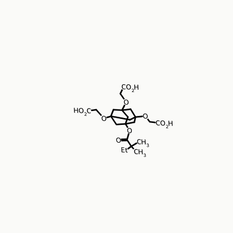 CCC(C)(C)C(=O)OC12CC3(OCC(=O)O)CC(OCC(=O)O)(CC(OCC(=O)O)(C3)C1)C2